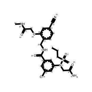 C=S(=O)(CCC)N(CC(N)=O)c1cc(Cl)cc(C(=O)NCc2ccc(C#N)cc2OCC(=O)NC)c1